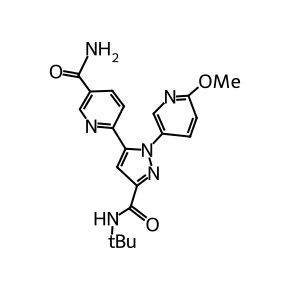 COc1ccc(-n2nc(C(=O)NC(C)(C)C)cc2-c2ccc(C(N)=O)cn2)cn1